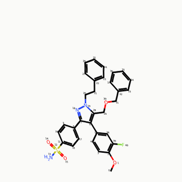 COc1ccc(-c2c(-c3ccc(S(N)(=O)=O)cc3)nn(CCc3ccccc3)c2COCc2ccccc2)cc1F